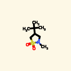 CN1CC(C(C)(C)C)CS1(=O)=O